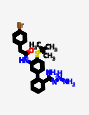 CC(C)(C)Sc1ccc(-c2ccccc2/C(N)=N/NN)cc1NC(=O)Cc1ccc(Br)cc1